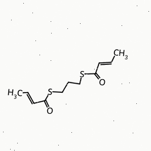 CC=CC(=O)SCCCSC(=O)C=CC